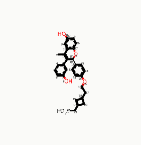 CC1=C(c2cccc(O)c2)[C@H](c2ccc(OCCC3CC(CC(=O)O)C3)cc2)Oc2ccc(O)cc21